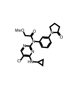 COCC(=O)N(c1cccc(N2CCCC2=O)c1)c1ncc(Cl)c(NC2CC2)n1